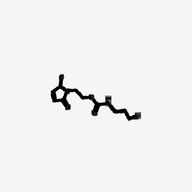 O=C(NCCCS)OCCN1C(=O)C=CC1=O